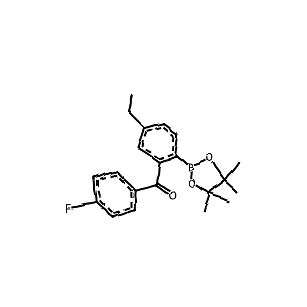 CCc1ccc(B2OC(C)(C)C(C)(C)O2)c(C(=O)c2ccc(F)cc2)c1